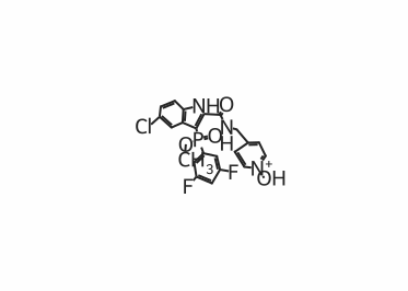 COP(=O)(c1cc(F)cc(F)c1)c1c(C(=O)NCc2cc[n+](O)cc2)[nH]c2ccc(Cl)cc12